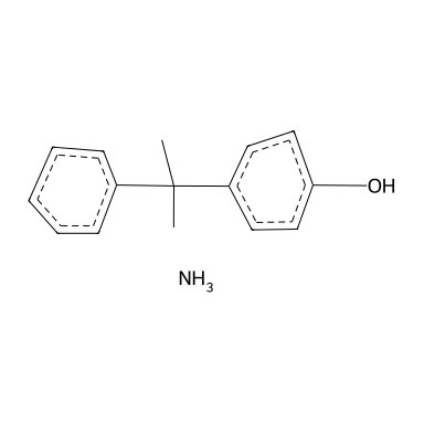 CC(C)(c1ccccc1)c1ccc(O)cc1.N